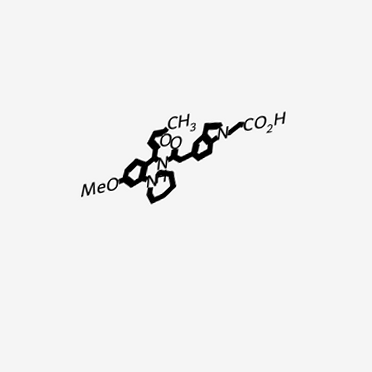 COc1ccc(C(NC(=O)Cc2ccc3c(ccn3CCC(=O)O)c2)c2ccc(C)o2)c(N2CCCCCC2)c1